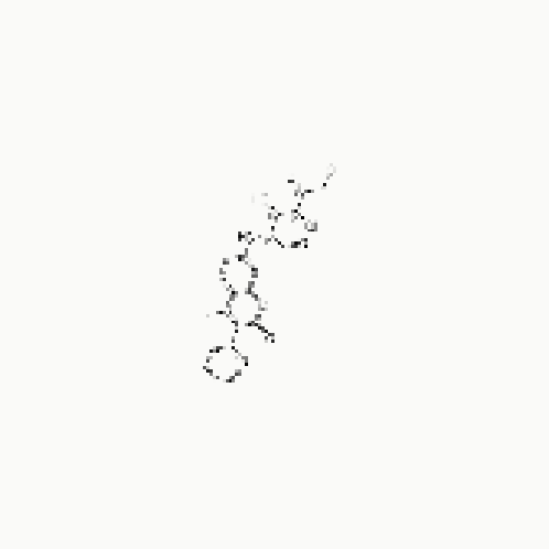 Cc1c(-c2ccccn2)c(=O)oc2cc(N[C@@H](C=O)[C@@H](O)[C@H](O)[C@H](O)CO)ccc12